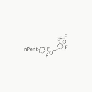 CCCCCc1ccc(C(F)(F)OCCc2cc(F)c(OC(F)F)c(F)c2)cc1